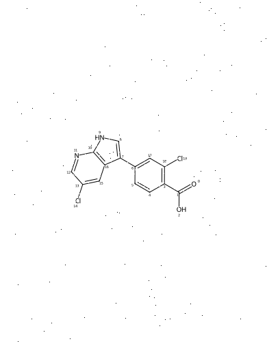 O=C(O)c1ccc(-c2c[nH]c3ncc(Cl)cc23)cc1Cl